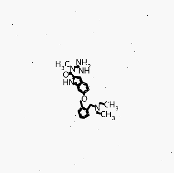 CCN(CC)Cc1ccccc1COc1ccc2cc(C(=O)N(C)C(=N)N)[nH]c2c1